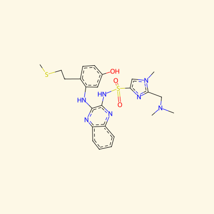 CSCCc1ccc(O)cc1Nc1nc2ccccc2nc1NS(=O)(=O)c1cn(C)c(CN(C)C)n1